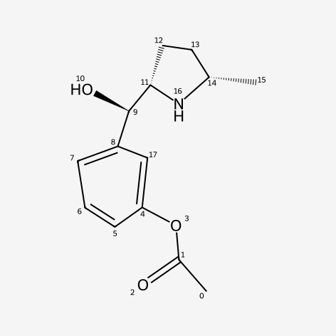 CC(=O)Oc1cccc([C@@H](O)[C@@H]2CC[C@H](C)N2)c1